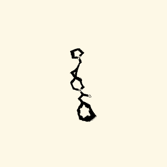 O=C(Cc1ccccc1)N1CCC2(CC1)CC2CN1C=CCC1